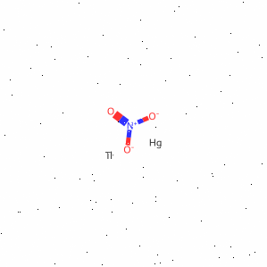 O=[N+]([O-])[O-].[Hg].[Tl]